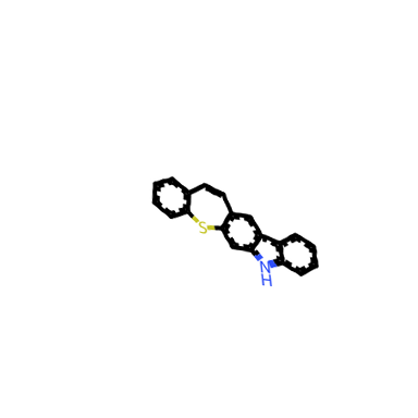 C1=Cc2cc3c(cc2Sc2ccccc21)[nH]c1ccccc13